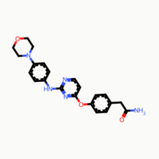 NC(=O)Cc1ccc(Oc2ccnc(Nc3ccc(N4CCOCC4)cc3)n2)cc1